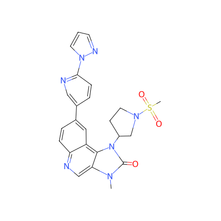 Cn1c(=O)n(C2CCN(S(C)(=O)=O)C2)c2c3cc(-c4ccc(-n5cccn5)nc4)ccc3ncc21